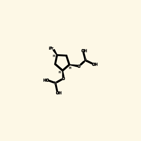 CC(C)[C@@H]1C[C@H](ON(O)O)[C@H](ON(O)O)C1